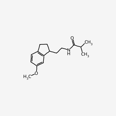 COc1ccc2c(c1)C(CCNC(=O)C(C)C)CC2